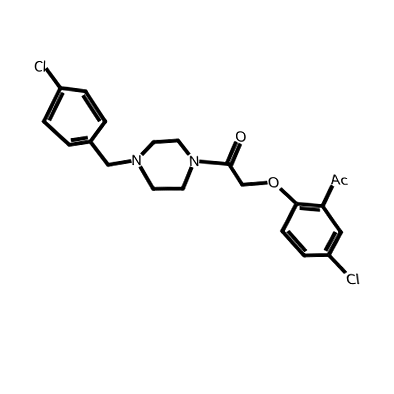 CC(=O)c1cc(Cl)ccc1OCC(=O)N1CCN(Cc2ccc(Cl)cc2)CC1